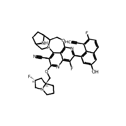 C#Cc1c(F)ccc2cc(O)cc(-c3nc4c5c(c(C#N)c(OC[C@@]67CCCN6C[C@H](F)C7)nc5c3F)N3CC5CCC(N5)C3CO4)c12